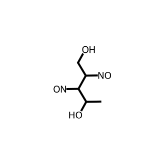 CC(O)C(N=O)C(CO)N=O